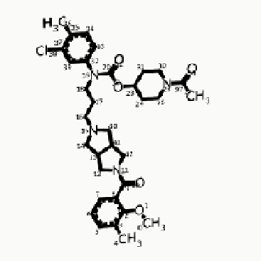 COc1c(C)cccc1C(=O)N1CC2CN(CCCN(C(=O)OC3CCN(C(C)=O)CC3)c3ccc(C)c(Cl)c3)CC2C1